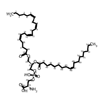 CCCCC/C=C\C/C=C\C/C=C\C/C=C\CCCC(=O)OC[C@H](COP(=O)(O)OC[C@H](N)C(=O)O)OC(=O)CCCCCCC/C=C\CCCCCCCC